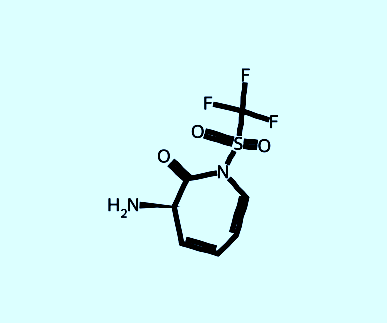 N[C@@H]1C=CC=CN(S(=O)(=O)C(F)(F)F)C1=O